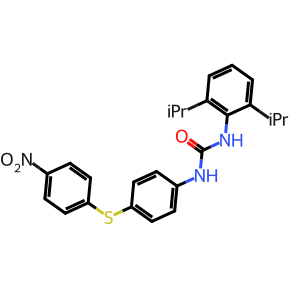 CC(C)c1cccc(C(C)C)c1NC(=O)Nc1ccc(Sc2ccc([N+](=O)[O-])cc2)cc1